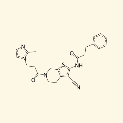 Cc1nccn1CCC(=O)N1CCc2c(sc(NC(=O)CCc3ccccc3)c2C#N)C1